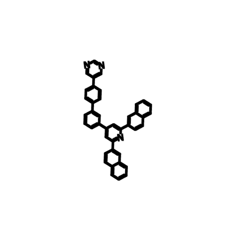 c1cc(-c2ccc(-c3cncnc3)cc2)cc(-c2cc(-c3ccc4ccccc4c3)nc(-c3ccc4ccccc4c3)c2)c1